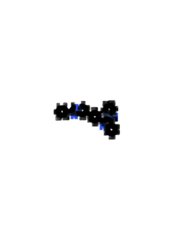 c1ccc(-c2cn3ccc(-c4ccc(-c5nc6ccccc6c6nc7ccccn7c56)cc4)cc3n2)cc1